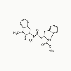 CN1C(=O)C(N(C)C(=O)C[C@@H](Cc2ccccc2F)NC(=O)OC(C)(C)C)Cc2ncccc21